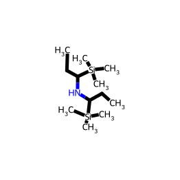 CCC(NC(CC)[Si](C)(C)C)[Si](C)(C)C